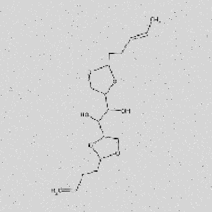 C=CCCC1OCC(C(O)C(O)C2COC(CCC=CC)O2)O1